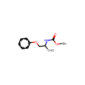 CC(C)(C)OC(=O)NC(C=O)COc1ccccc1